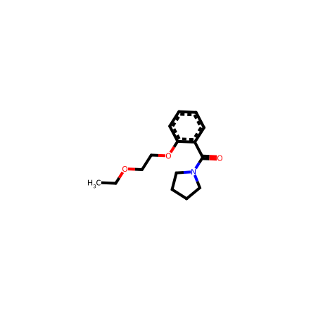 CCOCCOc1ccccc1C(=O)N1CCCC1